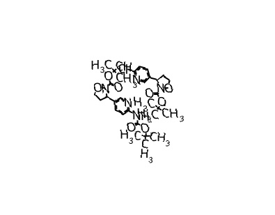 CC(C)(C)OC(=O)N1OCCC1c1ccc(Cl)nc1.CC(C)(C)OC(=O)Nc1ccc(C2CCON2C(=O)OC(C)(C)C)cn1